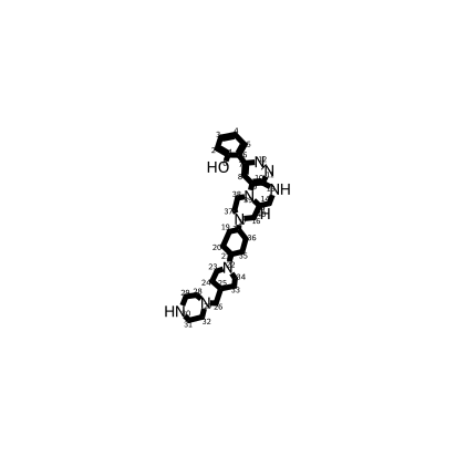 Oc1ccccc1-c1cc2c(nn1)NC[C@H]1CN(C3CCC(N4CCC(CN5CCNCC5)CC4)CC3)CCN21